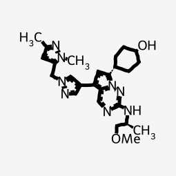 COC[C@H](C)Nc1ncc2c(-c3cnn(Cc4cc(C)nn4C)c3)cc([C@H]3CC[C@H](O)CC3)n2n1